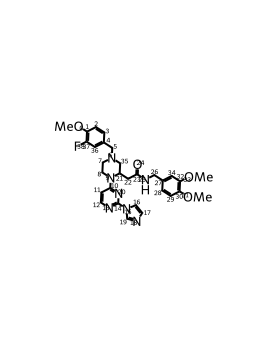 COc1ccc(CN2CCN(c3ccnc(-n4ccnc4)n3)C(CC(=O)NCc3ccc(OC)c(OC)c3)C2)cc1F